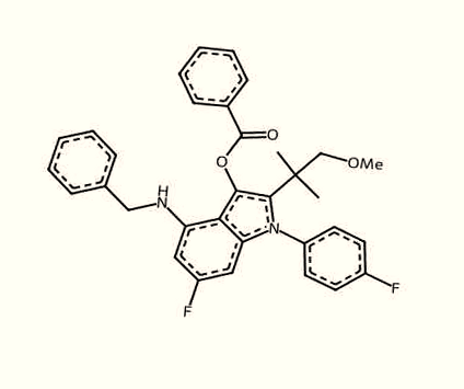 COCC(C)(C)c1c(OC(=O)c2ccccc2)c2c(NCc3ccccc3)cc(F)cc2n1-c1ccc(F)cc1